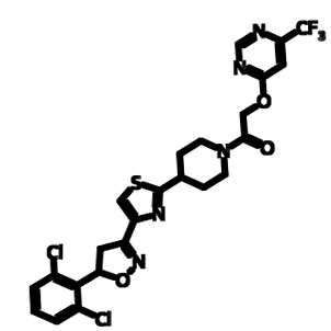 O=C(COc1cc(C(F)(F)F)ncn1)N1CCC(c2nc(C3=NOC(c4c(Cl)cccc4Cl)C3)cs2)CC1